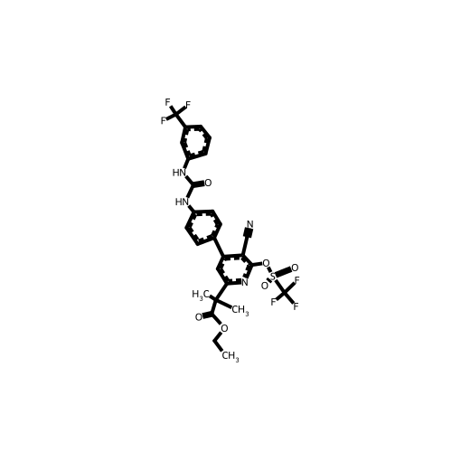 CCOC(=O)C(C)(C)c1cc(-c2ccc(NC(=O)Nc3cccc(C(F)(F)F)c3)cc2)c(C#N)c(OS(=O)(=O)C(F)(F)F)n1